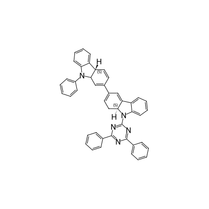 C1=C[C@H]2c3ccccc3N(c3ccccc3)C2C=C1C1=CC[C@H]2C(=C1)c1ccccc1N2c1nc(-c2ccccc2)nc(-c2ccccc2)n1